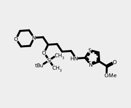 COC(=O)c1csc(NCCCC(CN2CCOCC2)O[Si](C)(C)C(C)(C)C)n1